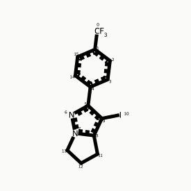 FC(F)(F)c1ccc(-c2nn3c(c2I)CCC3)cc1